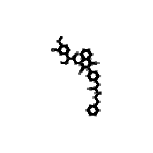 COc1ccc(N(OC)C(=O)Cn2c(=O)n(-c3ccc(CC(=O)NCCc4ccccc4)cc3)c(=O)c3ccccc32)cc1Cl